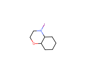 IN1CCOC2CCCCC21